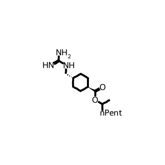 CCCCCC(C)OC(=O)[C@H]1CC[C@H](CNC(=N)N)CC1